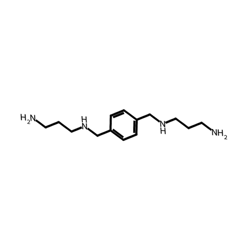 NCCCNCc1ccc(CNCCCN)cc1